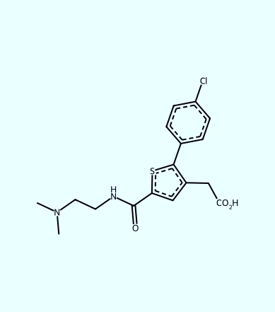 CN(C)CCNC(=O)c1cc(CC(=O)O)c(-c2ccc(Cl)cc2)s1